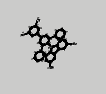 CC(C)(C)c1ccc2c(c1)c1cc(C(C)(C)C)ccc1n2-c1c(-c2ccccc2)cc(-c2cc(C#N)cc(C#N)c2)cc1-c1ccccc1